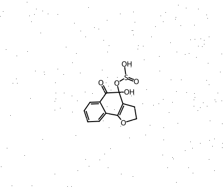 O=C1c2ccccc2C2=C(CCO2)C1(O)OS(=O)O